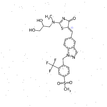 CN(CC(O)CO)C1=NC(=O)/C(=C/c2ccc3c(cnn3Cc3ccc(S(C)(=O)=O)cc3C(F)(F)F)c2)S1